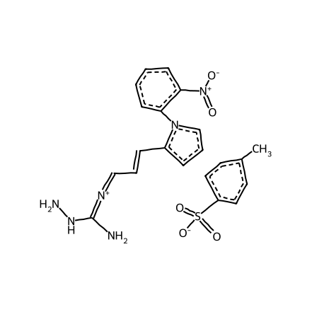 Cc1ccc(S(=O)(=O)[O-])cc1.NNC(N)=[N+]=CC=Cc1cccn1-c1ccccc1[N+](=O)[O-]